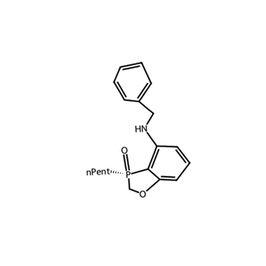 CCCCC[P@@]1(=O)COc2cccc(NCc3ccccc3)c21